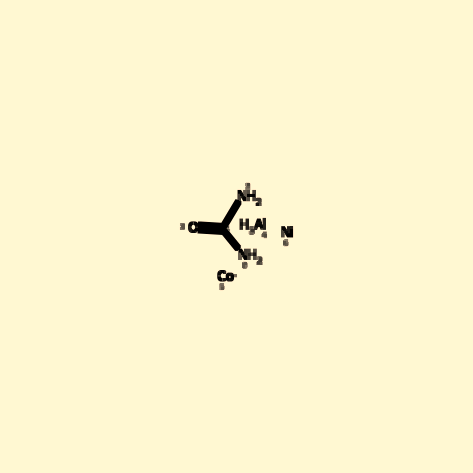 NC(N)=O.[AlH3].[Co].[Ni]